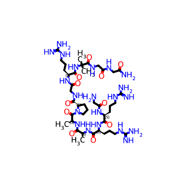 C[C@H](NC(=O)[C@H](CCCNC(=N)N)NC(=O)[C@H](CCCNC(=N)N)NC(=O)CN)C(=O)N[C@@H](C)C(=O)N1CCC[C@H]1C(=O)NCC(=O)N[C@@H](CCCNC(=N)N)C(=O)NC(C)(C)C(=O)NCC(=O)NCC(N)=O